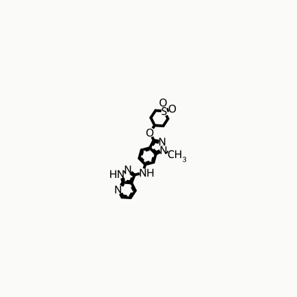 Cn1nc(OC2CCS(=O)(=O)CC2)c2ccc(Nc3n[nH]c4ncccc34)cc21